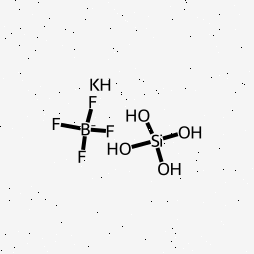 F[B-](F)(F)F.O[Si](O)(O)O.[KH]